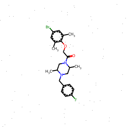 Cc1cc(Br)cc(C)c1OCC(=O)N1CC(C)N(Cc2ccc(F)cc2)CC1C